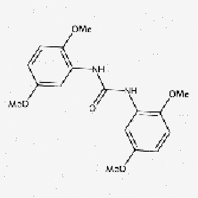 COc1ccc(OC)c(NC(=O)Nc2cc(OC)ccc2OC)c1